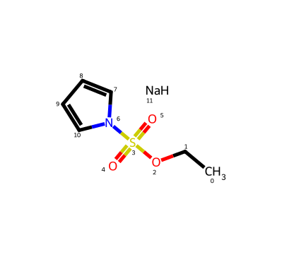 CCOS(=O)(=O)n1cccc1.[NaH]